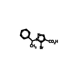 CC(c1ccccc1)n1ncc(C(=O)O)c1Br